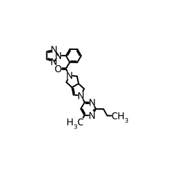 CCCc1nc(C)cc(N2C=C3CN(C(=O)c4ccccc4-n4nccn4)CC3C2)n1